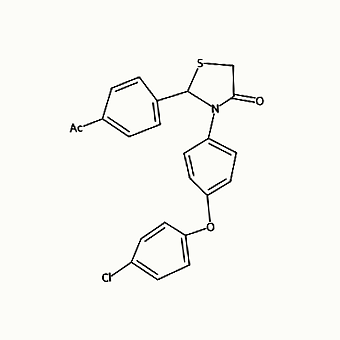 CC(=O)c1ccc(C2SCC(=O)N2c2ccc(Oc3ccc(Cl)cc3)cc2)cc1